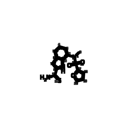 CN(c1cccc2cc(C(N)=S)[nH]c12)S(=O)(=O)c1ccco1